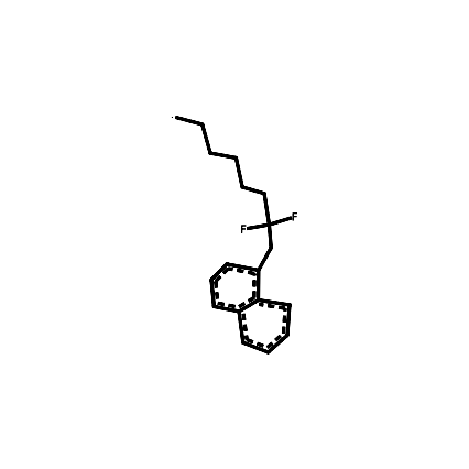 [CH2]CCCCCC(F)(F)Cc1cccc2ccccc12